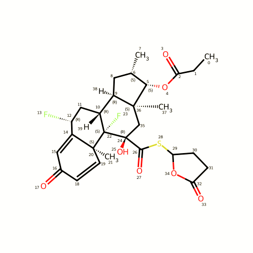 CCC(=O)O[C@H]1[C@@H](C)C[C@@H]2[C@H]3C[C@@H](F)C4=CC(=O)C=C[C@]4(C)[C@]3(F)[C@@](O)(C(=O)SC3CCC(=O)O3)C[C@@]21C